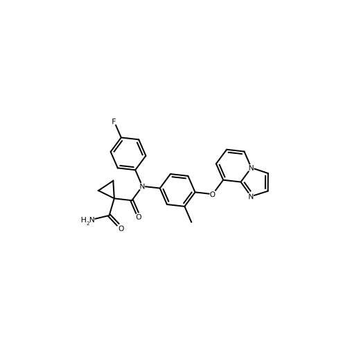 Cc1cc(N(C(=O)C2(C(N)=O)CC2)c2ccc(F)cc2)ccc1Oc1cccn2ccnc12